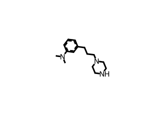 CN(C)c1cccc(CCCN2CCNCC2)c1